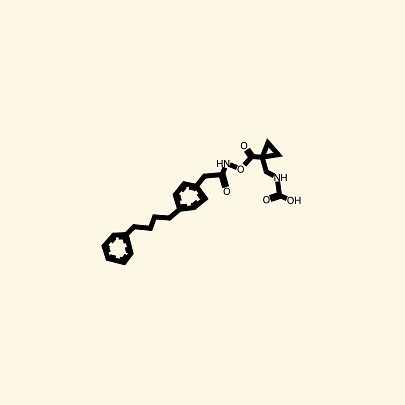 O=C(O)NCC1(C(=O)ONC(=O)Cc2ccc(CCCCc3ccccc3)cc2)CC1